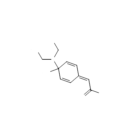 CCN(CC)C1(C)C=CC(=CC(C)=O)C=C1